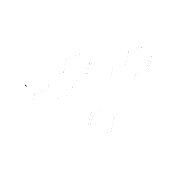 CC(=Cc1ccc2c(c1)N(S(=O)(=O)c1cccc(C(F)(F)F)c1)CC([C@H](C)O)O2)c1c(F)cccc1Cl